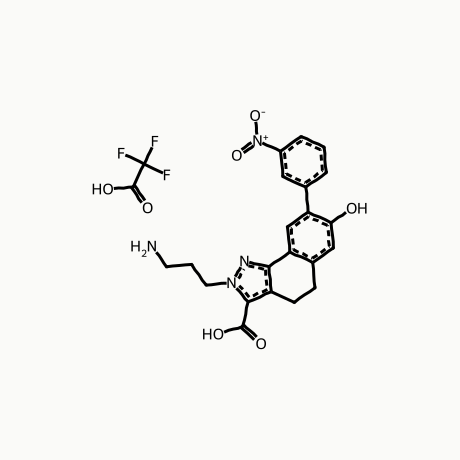 NCCCn1nc2c(c1C(=O)O)CCc1cc(O)c(-c3cccc([N+](=O)[O-])c3)cc1-2.O=C(O)C(F)(F)F